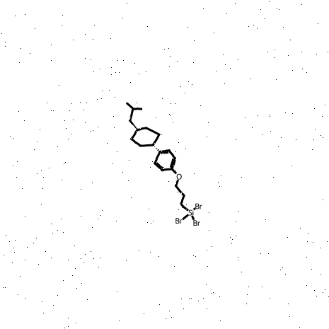 CC(C)C[C@H]1CC[C@H](c2ccc(OCCC[Si](Br)(Br)Br)cc2)CC1